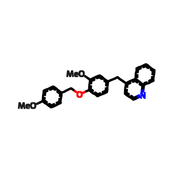 COc1ccc(COc2ccc(Cc3ccnc4ccccc34)cc2OC)cc1